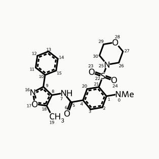 CNc1ccc(C(=O)Nc2c(-c3ccccc3)noc2C)cc1S(=O)(=O)N1CCOCC1